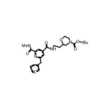 CNC(=O)c1cc(C(=O)NCCC2CN(C(=O)OC(C)(C)C)CCO2)cc(Cc2ccccc2)n1